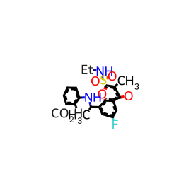 CCNS(=O)(=O)c1oc2c(C(C)Nc3ccccc3C(=O)O)cc(F)cc2c(=O)c1C